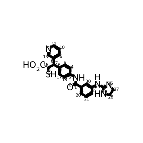 O=C(Nc1ccc(C(c2cccnc2)[C@H](S)C(=O)O)cc1)c1cccc(NC2=NCCN2)c1